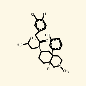 CC(C)CN(C(=O)Cc1ccc(Cl)c(Cl)c1)[C@H]1CC[C@@H]2CN(C)CC[C@@]2(c2cccc(O)c2)C1